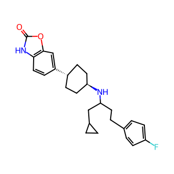 O=c1[nH]c2ccc([C@H]3CC[C@H](NC(CCc4ccc(F)cc4)CC4CC4)CC3)cc2o1